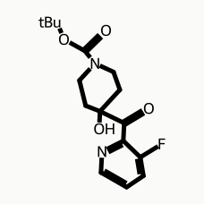 CC(C)(C)OC(=O)N1CCC(O)(C(=O)c2ncccc2F)CC1